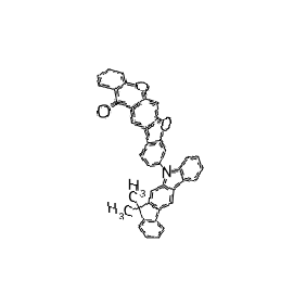 CC1(C)c2ccccc2-c2cc3c4ccccc4n(-c4ccc5c(c4)oc4cc6oc7ccccc7c(=O)c6cc45)c3cc21